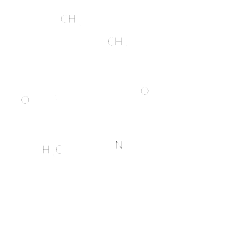 CCC1=C(C)C(=O)C(N2CCc3ccccc3C2)=C(C)C1=O